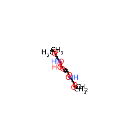 C=C(C)C(=O)OCCCCCNC(=O)OCCc1ccc(OCC(O)COC(=O)NCCCCCOC(=O)C(=C)C)cc1